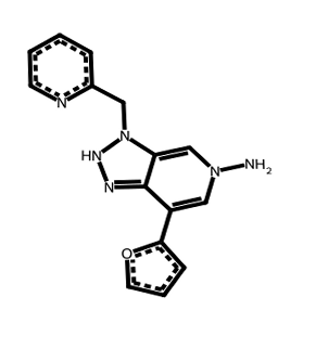 NN1C=C(c2ccco2)C2=NNN(Cc3ccccn3)C2=C1